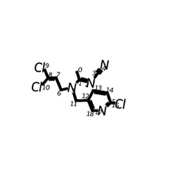 CC(=NC#N)N(CC=C(Cl)Cl)Cc1ccc(Cl)nc1